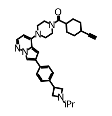 C#CC1CCC(C(=O)N2CCN(c3ccnn4cc(-c5ccc(C6CN(C(C)C)C6)cc5)cc34)CC2)CC1